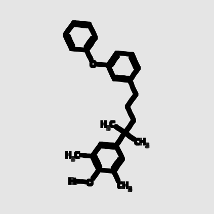 CCOc1c(C)cc(C(C)(C)CCCc2cccc(Oc3ccccc3)c2)cc1C